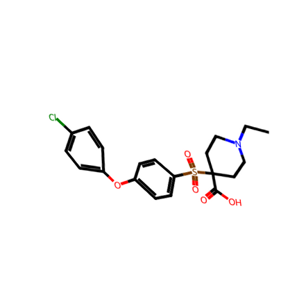 CCN1CCC(C(=O)O)(S(=O)(=O)c2ccc(Oc3ccc(Cl)cc3)cc2)CC1